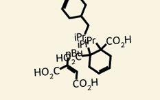 CC(C)C1(C(=O)O)CC=CCC1(C(=O)O)C(C)C.CC(C)CC1CC=CCC1.CCCCC(=CC(=O)O)C(=O)O